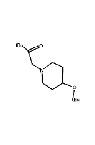 CC(C)(C)OC1CCN(CC(=O)C(C)(C)C)CC1